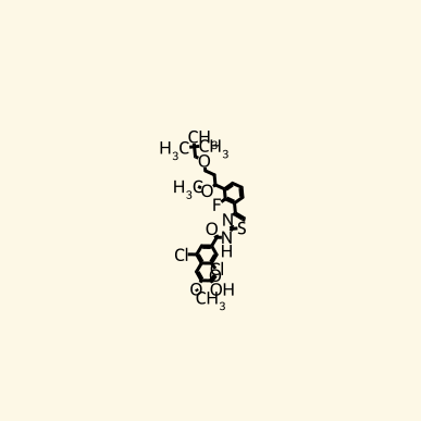 CO/C(=C/c1c(Cl)cc(C(=O)Nc2nc(-c3cccc(C(CCOCC(C)(C)C)OC)c3F)cs2)cc1Cl)C(=O)O